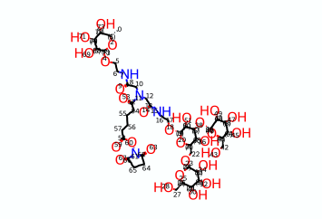 C[C@@H]1O[C@@H](OCCNC(=O)CN(CC(=O)NCCO[C@H]2O[C@H](CO[C@H]3O[C@H](CO)[C@@H](O)[C@H](O)[C@@H]3O)[C@@H](O)[C@H](O[C@H]3O[C@H](CO)[C@@H](O)[C@H](O)[C@@H]3O)[C@@H]2O)C(=O)CCCCC(=O)ON2C(=O)CCC2=O)[C@@H](O)[C@H](O)[C@@H]1O